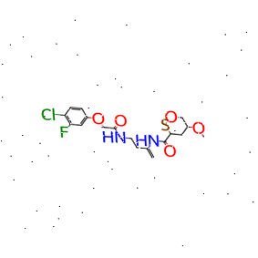 C=C(CCNC(=O)COc1ccc(Cl)c(F)c1)NC(=O)C1CC(OC)COS1